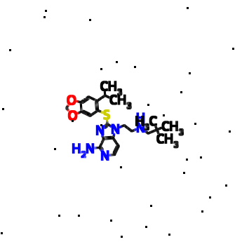 CC(C)c1cc2c(cc1Sc1nc3c(N)nccc3n1CCNCC(C)(C)C)OCO2